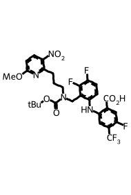 COc1ccc([N+](=O)[O-])c(CCCN(Cc2c(Nc3cc(C(F)(F)F)c(F)cc3C(=O)O)ccc(F)c2F)C(=O)OC(C)(C)C)n1